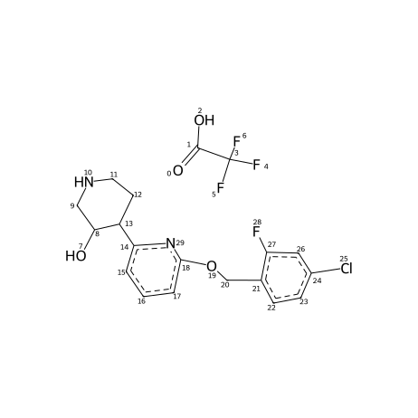 O=C(O)C(F)(F)F.OC1CNCCC1c1cccc(OCc2ccc(Cl)cc2F)n1